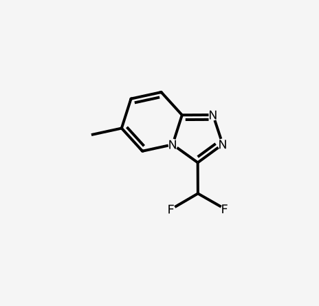 Cc1ccc2nnc(C(F)F)n2c1